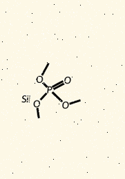 COP(=O)(OC)OC.[Si]